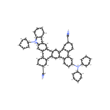 N#Cc1ccc2c(c1)c1cc3c(cc1c1ccc(N(c4ccccc4)c4ccccc4)cc21)c1cc(C#N)ccc1c1cc2c(cc31)c1ccccc1n2-c1ccccc1